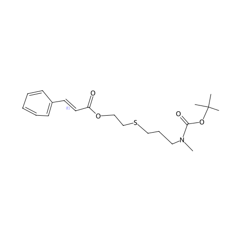 CN(CCCSCCOC(=O)/C=C/c1ccccc1)C(=O)OC(C)(C)C